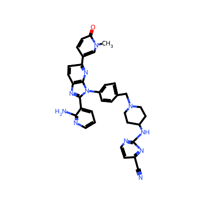 Cn1cc(-c2ccc3nc(-c4cccnc4N)n(-c4ccc(CN5CCC(Nc6nccc(C#N)n6)CC5)cc4)c3n2)ccc1=O